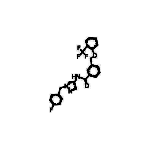 O=C(Nc1cnn(Cc2ccc(F)cc2)c1)c1cccc(COc2ccccc2C(F)(F)F)c1